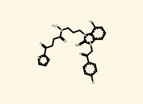 CN(CCCn1c(=N)n(CC(=O)c2ccc(Cl)cc2)c2cccc(Cl)c21)C(=O)CCC(=O)c1cccs1